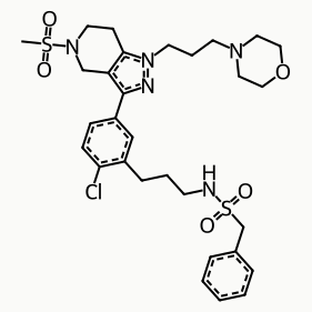 CS(=O)(=O)N1CCc2c(c(-c3ccc(Cl)c(CCCNS(=O)(=O)Cc4ccccc4)c3)nn2CCCN2CCOCC2)C1